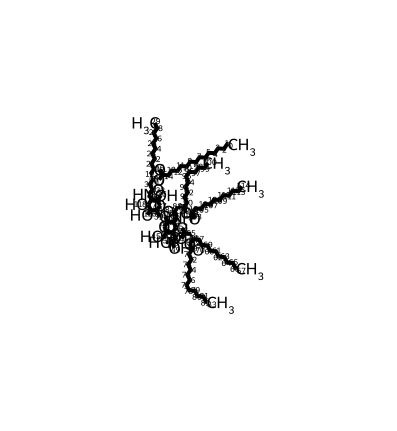 CCCCCCCCCCCCCCCC(=O)O[C@H](CCCCCCCCCCC)CC(=O)NC1C(O)OC(COC2OC(CO)C(OP(O)O)C(OC(=O)C[C@@H](CCCCCCCCCCC)OC(=O)CCCCCCCCCCCCC)C2NC(=O)C[C@@H](CCCCCCCCCCC)OC(=O)CCCCCCCCCCC)C(O)C1O